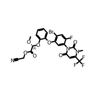 CO[C@H](Oc1ccccc1Oc1cc(-n2c(=O)cc(C(F)(F)F)n(C)c2=O)c(F)cc1Br)C(=O)OCC#N